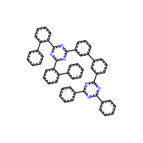 c1ccc(-c2nc(-c3ccccc3)nc(-c3cccc(-c4cccc(-c5nc(-c6ccccc6-c6ccccc6)nc(-c6ccccc6-c6ccccc6)n5)c4)c3)n2)cc1